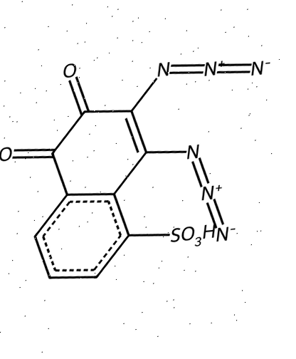 [N-]=[N+]=NC1=C(N=[N+]=[N-])c2c(cccc2S(=O)(=O)O)C(=O)C1=O